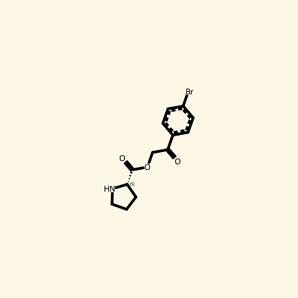 O=C(COC(=O)[C@@H]1CCCN1)c1ccc(Br)cc1